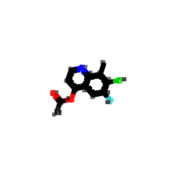 CCC(=O)Oc1ccnc2c(C)c(Cl)c(F)cc12